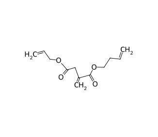 C=CCCOC(=O)C(=C)CC(=O)OCC=C